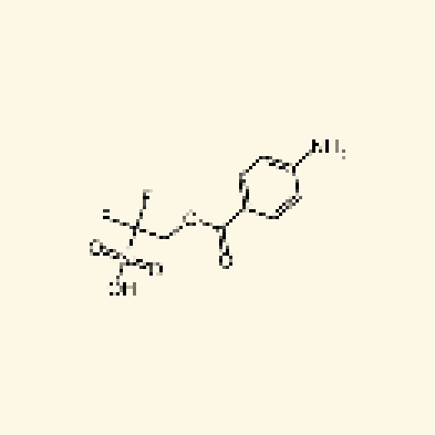 Nc1ccc(C(=O)OCC(F)(F)S(=O)(=O)O)cc1